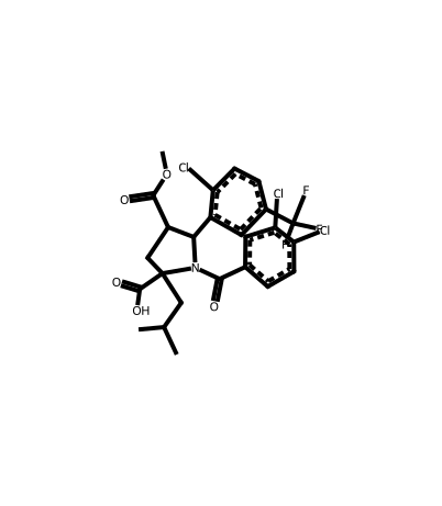 COC(=O)C1CC(CC(C)C)(C(=O)O)N(C(=O)c2ccc(Cl)c(Cl)c2)C1c1cc(C(F)(F)F)ccc1Cl